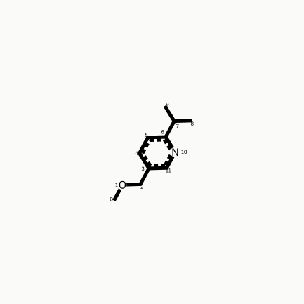 COCc1ccc(C(C)C)nc1